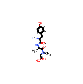 C[C@@H](NC(=O)[C@@H](N)Cc1ccc(O)cc1)C(=O)N(C)CC(=O)O